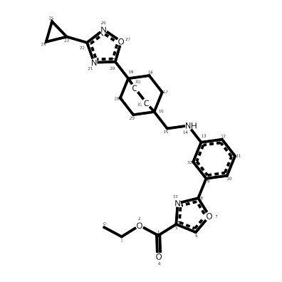 CCOC(=O)c1coc(-c2cccc(NCC34CCC(c5nc(C6CC6)no5)(CC3)CC4)c2)n1